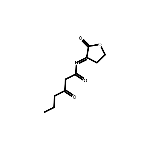 CCCC(=O)CC(=O)/N=C1\CCOC1=O